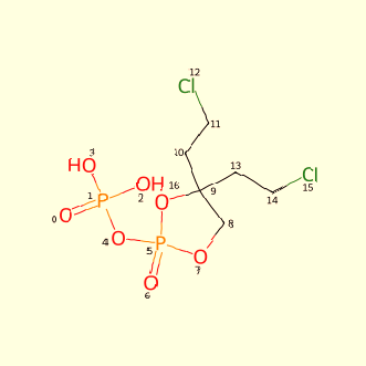 O=P(O)(O)OP1(=O)OCC(CCCl)(CCCl)O1